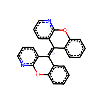 c1ccc2c(c1)Oc1ncccc1/C2=C1/c2ccccc2Oc2ncccc21